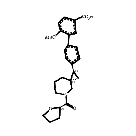 COc1ccc(C(=O)O)cc1-c1ccc([C@H]2C[C@]23CCCN(C(=O)[C@H]2CCCO2)C3)cc1